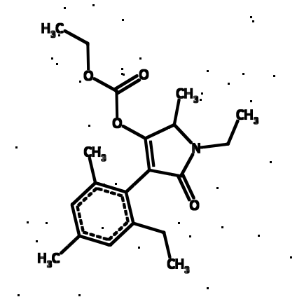 CCOC(=O)OC1=C(c2c(C)cc(C)cc2CC)C(=O)N(CC)C1C